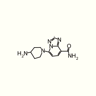 NC(=O)c1ccc(N2CCC(N)CC2)n2n[c]nc12